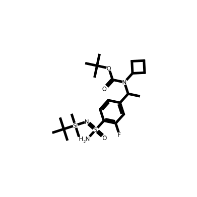 CC(c1ccc(S(N)(=O)=N[Si](C)(C)C(C)(C)C)c(F)c1)N(C(=O)OC(C)(C)C)C1CCC1